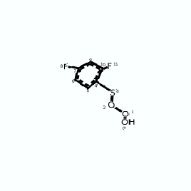 OOOSc1ccc(F)cc1F